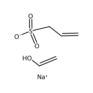 C=CCS(=O)(=O)[O-].C=CO.[Na+]